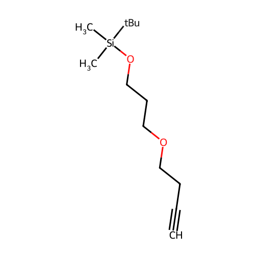 C#CCCOCCCO[Si](C)(C)C(C)(C)C